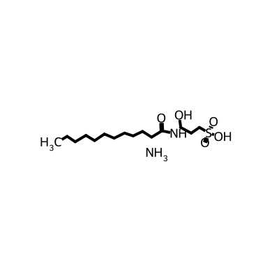 CCCCCCCCCCCC(=O)NC(O)CCS(=O)(=O)O.N